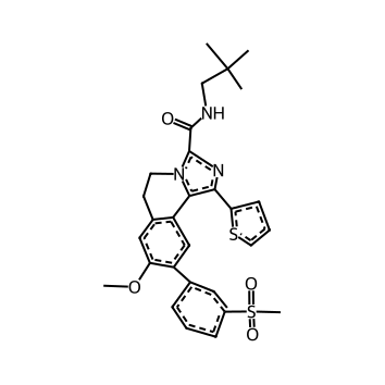 COc1cc2c(cc1-c1cccc(S(C)(=O)=O)c1)-c1c(-c3cccs3)nc(C(=O)NCC(C)(C)C)n1CC2